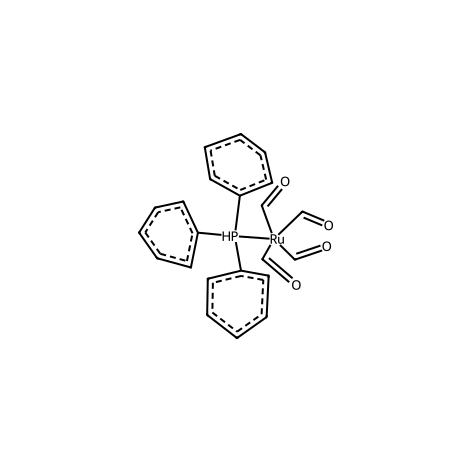 O=[CH][Ru]([CH]=O)([CH]=O)([CH]=O)[PH](c1ccccc1)(c1ccccc1)c1ccccc1